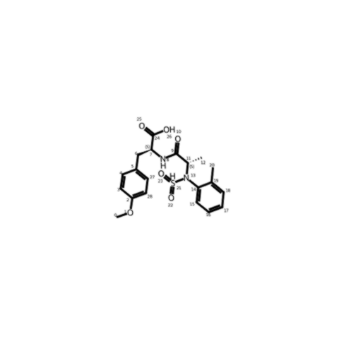 COc1ccc(C[C@H](NC(=O)[C@H](C)N(c2ccccc2C)[SH](=O)=O)C(=O)O)cc1